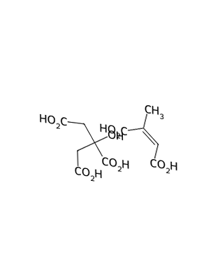 C/C(=C/C(=O)O)C(=O)O.O=C(O)CC(O)(CC(=O)O)C(=O)O